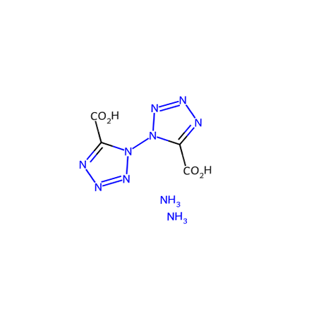 N.N.O=C(O)c1nnnn1-n1nnnc1C(=O)O